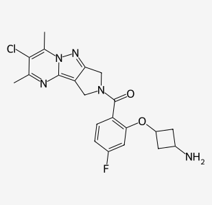 Cc1nc2c3c(nn2c(C)c1Cl)CN(C(=O)c1ccc(F)cc1OC1CC(N)C1)C3